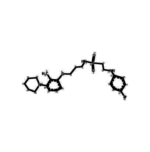 Cc1c(OCCCNS(=O)(=O)CCNc2ccc(Br)cc2)cccc1N1CCCCC1